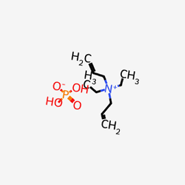 C=CC[N+](CC)(CC)CC=C.O=P([O-])(O)O